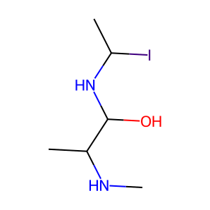 CNC(C)C(O)NC(C)I